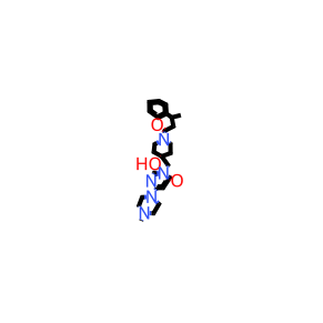 CC(CC(=O)N1CCC(O)(Cn2cnc(N3CCN(C)CC3)cc2=O)CC1)c1ccccc1